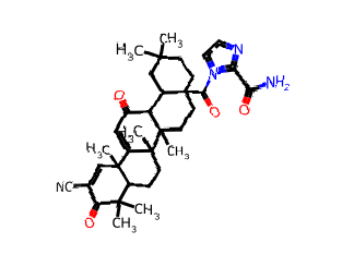 CC1(C)CCC2(C(=O)n3ccnc3C(N)=O)CCC3(C)C(C(=O)C=C4C5(C)C=C(C#N)C(=O)C(C)(C)C5CCC43C)C2C1